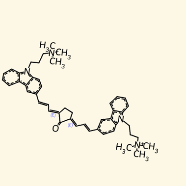 C[N+](C)(C)CCCn1c2ccccc2c2cc(C=C/C=C3\CC/C(=C\C=Cc4ccc5c(c4)c4ccccc4n5CCC[N+](C)(C)C)C3=O)ccc21